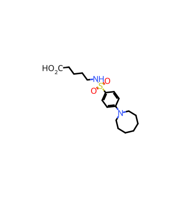 O=C(O)CCCCNS(=O)(=O)c1ccc(N2CCCCCCC2)cc1